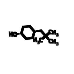 CC(C)(C)C[C@H]1CC[C@H](O)CC1